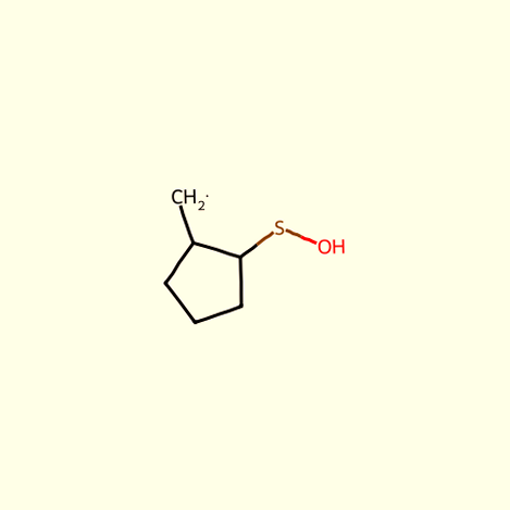 [CH2]C1CCCC1SO